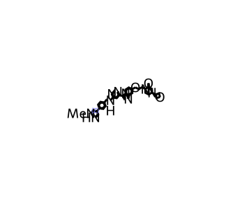 CN/C=C(\C=N)c1ccc(CNc2cc(-c3cnc4cc(OCCN5CCN(C6COC6)CC5=O)ccn34)ncn2)cc1